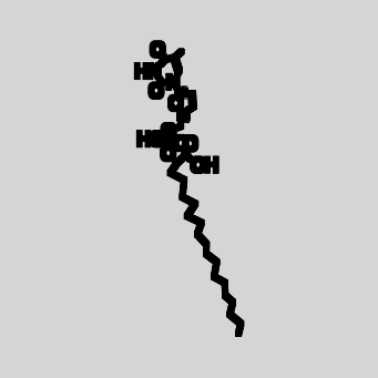 CCCCCCCCCCCCCCCCCC(OP(=O)(O)OC[C@@H]1C=C[C@H](n2cc(C)c(=O)[nH]c2=O)O1)C(=O)O